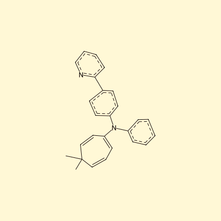 CC1(C)C=CC=C(N(c2ccccc2)c2ccc(-c3ccccn3)cc2)C=C1